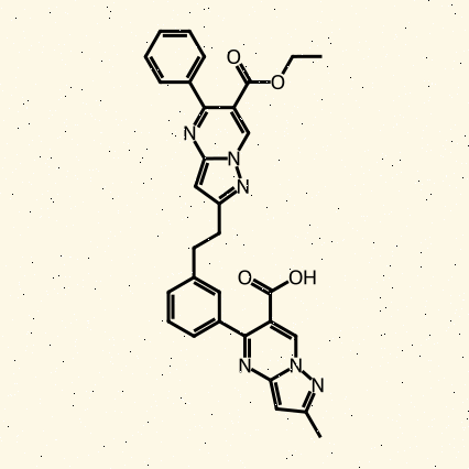 CCOC(=O)c1cn2nc(CCc3cccc(-c4nc5cc(C)nn5cc4C(=O)O)c3)cc2nc1-c1ccccc1